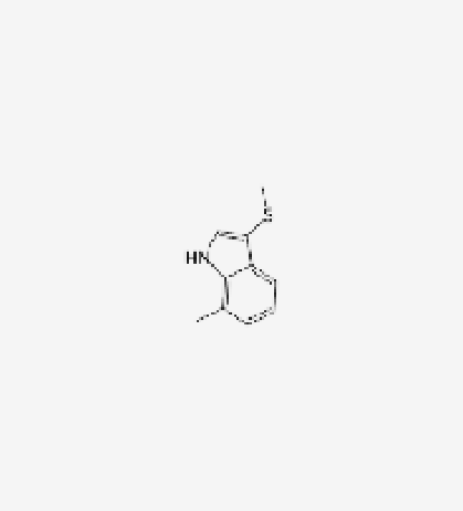 CSc1c[nH]c2c(C)cccc12